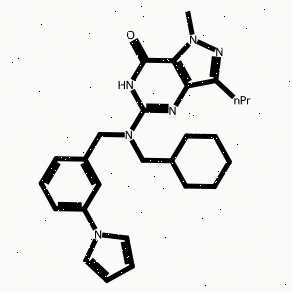 CCCc1nn(C)c2c(=O)[nH]c(N(Cc3cccc(-n4cccc4)c3)CC3CCCCC3)nc12